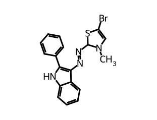 CN1C=C(Br)SC1N=Nc1c(-c2ccccc2)[nH]c2ccccc12